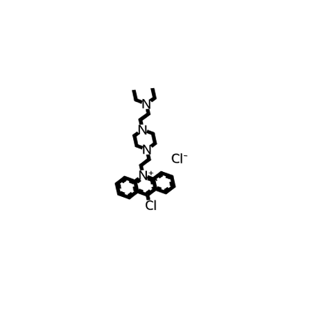 CCN(CC)CCN1CCN(CC[n+]2c3ccccc3c(Cl)c3ccccc32)CC1.[Cl-]